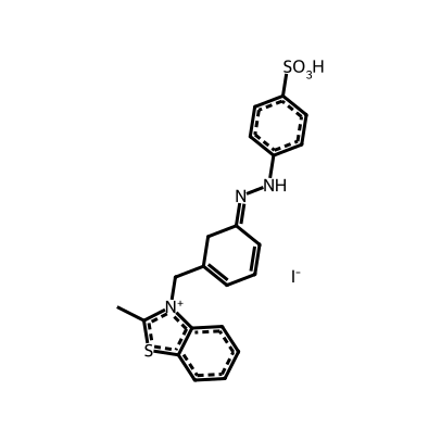 Cc1sc2ccccc2[n+]1CC1=CC=CC(=NNc2ccc(S(=O)(=O)O)cc2)C1.[I-]